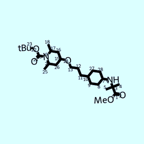 COC(=O)C(C)(C)NC1CCC(CCCOC2CC(C)N(C(=O)OC(C)(C)C)C(C)C2)CC1